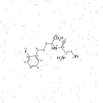 CC(C)C[C@H](N)C(=O)NC(CCCc1ccccc1F)C(=O)O